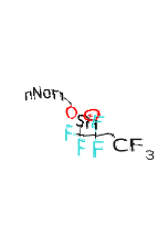 CCCCCCCCCC[O][Sn](=[O])[C](F)(F)C(F)(F)CC(F)(F)F